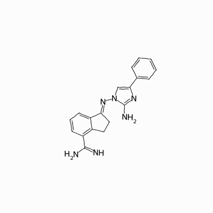 N=C(N)c1cccc2c1CC/C2=N\n1cc(-c2ccccc2)nc1N